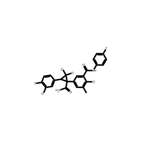 Cc1cc(C2(C(N)=O)C(c3ccc(F)c(Cl)c3)C2(Cl)Cl)cc(C(=O)Nc2ccc(F)cc2)c1Cl